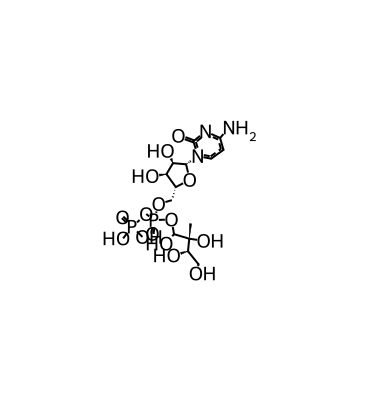 C[C@](O)(C(O)OP(=O)(OC[C@H]1O[C@@H](n2ccc(N)nc2=O)[C@H](O)[C@@H]1O)OP(=O)(O)O)[C@H](O)CO